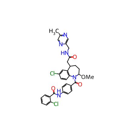 COC1CCC(CC(=O)NCc2cnc(C)cn2)c2cc(Cl)ccc2N1C(=O)c1ccc(NC(=O)c2ccccc2Cl)cc1